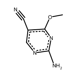 COc1nc(N)ncc1C#N